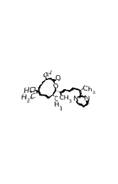 C/C(=C\C=C\[C@H](C)c1ncccn1)[C@H]1OC(=O)C[C@H](O)CC[C@@](C)(O)C/C=C/[C@@H]1C